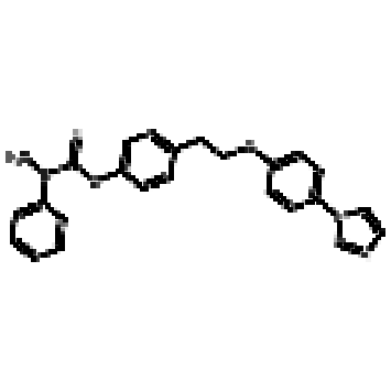 CN(C(=O)Oc1ccc(CCOc2ccc(-n3ccnc3)cc2)cc1)c1ccccc1